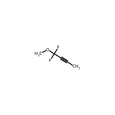 CC#CC(F)(F)OC